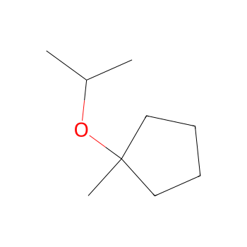 CC(C)OC1(C)CCCC1